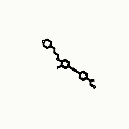 O=CNc1ccc(C#Cc2ccc(OCCCN3CCOCC3)c(F)c2)cc1